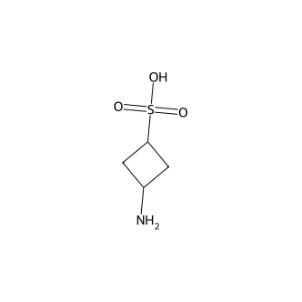 NC1CC(S(=O)(=O)O)C1